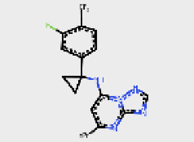 CCCc1cc(NC2(c3ccc(C(F)(F)F)c(F)c3)CC2)n2ncnc2n1